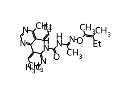 C/C=C(\C(=N/C)NC(=O)N/C(C)=N/O/C(C)=C(/C)CC)c1ncnc(C)c1/C=C\CC